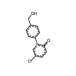 O=c1ccc(Cl)cn1-c1ccc(CO)cc1